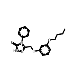 CCCCOc1cccc(OCc2n[nH]c(=S)n2-c2ccccc2)c1